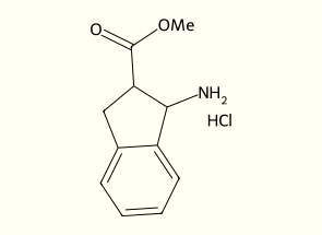 COC(=O)C1Cc2ccccc2C1N.Cl